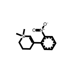 C[Si]1(C)C=C(c2ccccc2[N+](=O)[O-])CCC1